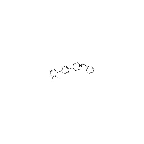 Cc1cccc(-c2ccc(C3CCN(Cc4ccccc4)CC3)cc2)c1C